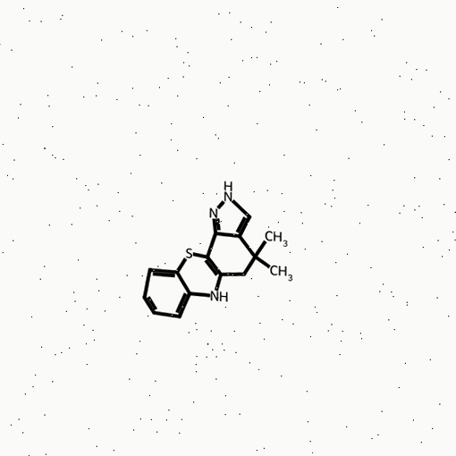 CC1(C)CC2=C(Sc3ccccc3N2)c2n[nH]cc21